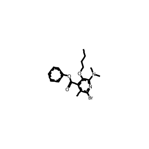 CCCCOc1c(N(C)C)nc(Br)c(C)c1C(=O)Oc1ccccc1